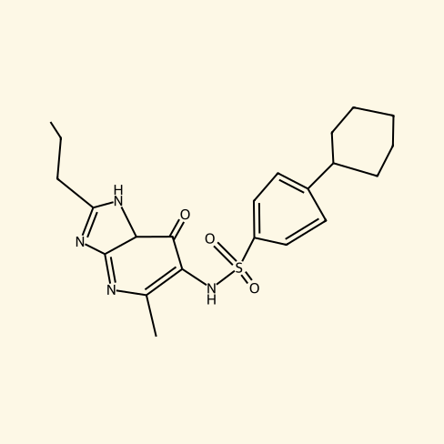 CCCC1=NC2=NC(C)=C(NS(=O)(=O)c3ccc(C4CCCCC4)cc3)C(=O)C2N1